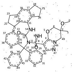 COC1(C)COc2c(S(=N)(=O)N(C(=O)Nc3c4c(cc5c3CCC5)CCC4)C(c3ccccc3)(c3ccccc3)c3ccccc3)cnn2C1